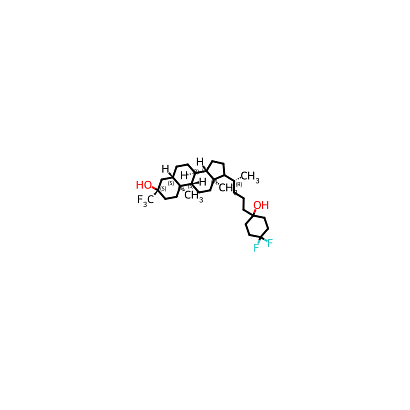 C[C@H](CCCC1(O)CCC(F)(F)CC1)C1CC[C@H]2[C@@H]3CC[C@H]4C[C@](O)(C(F)(F)F)CC[C@]4(C)[C@H]3CC[C@]12C